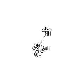 CC(=O)[AsH]CCC(CCCCCCCNc1c2c(nc3ccccc13)CCCC2)CCN(C(=O)O)c1ccc2[nH]ccc2c1